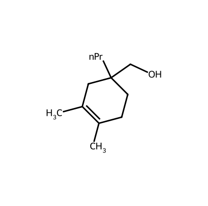 CCCC1(CO)CCC(C)=C(C)C1